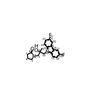 CC(O)(CN1CCCC1=O)Cn1c2ccc(F)cc2c2cc(F)ccc21